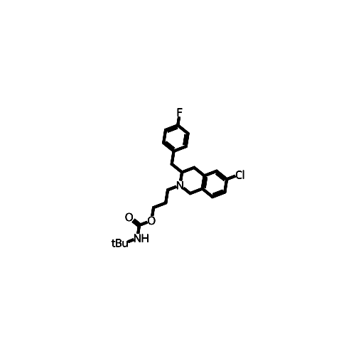 CC(C)(C)NC(=O)OCCCN1Cc2ccc(Cl)cc2CC1Cc1ccc(F)cc1